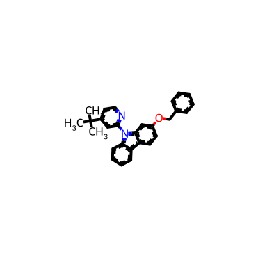 CC(C)(C)c1ccnc(-n2c3ccccc3c3ccc(OCc4ccccc4)cc32)c1